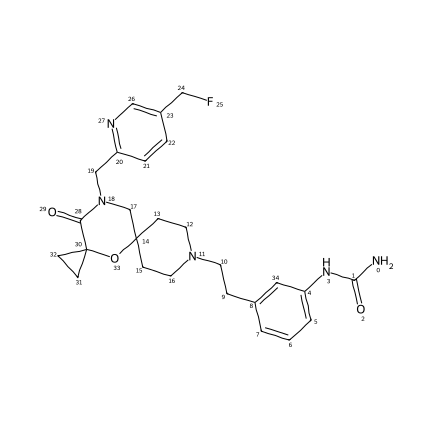 NC(=O)Nc1cccc(CCN2CCC3(CC2)CN(Cc2ccc(CF)cn2)C(=O)C2(CC2)O3)c1